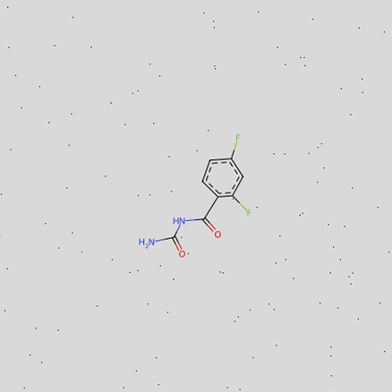 NC(=O)NC(=O)c1ccc(F)cc1F